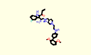 CCC(=O)c1[nH]c2ccc(F)cc2c1/C(N)=C/N(N)CC1CCN(CCNc2ccc(-c3c(OC)cccc3OC)cc2)CC1